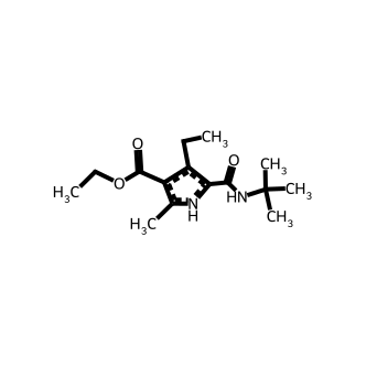 CCOC(=O)c1c(C)[nH]c(C(=O)NC(C)(C)C)c1CC